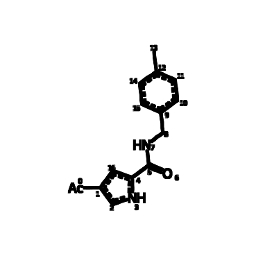 CC(=O)c1c[nH]c(C(=O)NCc2ccc(C)cc2)c1